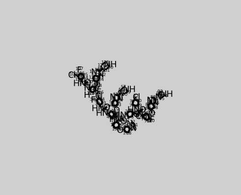 COc1ccc(NC(=O)Nc2cccc(Oc3ccc4nccnc4c3)c2)cc1.O=C(Nc1ccc(Cl)c(F)c1)Nc1ccc(F)c(Oc2ccc3ncc(N4CCNCC4)nc3c2)c1.O=C(Nc1ccc(Cl)cc1)Nc1ccc(F)c(Oc2ccc3ncc(N4CCNCC4)nc3c2)c1.O=C(Nc1ccc(F)c(Cl)c1)Nc1ccc(F)c(Oc2ccc3ncc(N4CCNCC4)nc3c2)c1